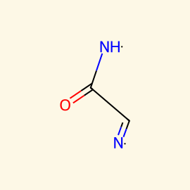 [N]=CC([NH])=O